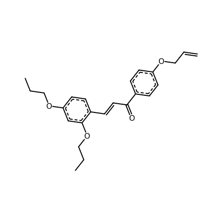 C=CCOc1ccc(C(=O)C=Cc2ccc(OCCC)cc2OCCC)cc1